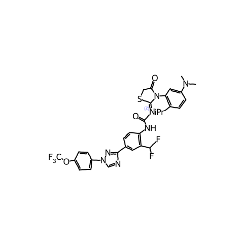 CC(C)c1ccc(N(C)C)cc1N1C(=O)CS/C1=N\C(=O)Nc1ccc(-c2ncn(-c3ccc(OC(F)(F)F)cc3)n2)cc1C(F)F